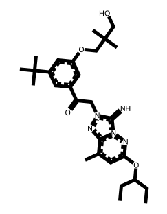 CCC(CC)Oc1cc(C)c2nn(CC(=O)c3cc(OCC(C)(C)CO)cc(C(C)(C)C)c3)c(=N)n2n1